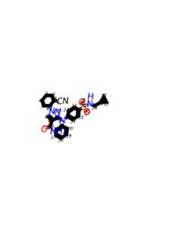 N#CC1CCCCC1n1cc(C(N)=O)c(N(c2ccccc2)c2ccc(S(=O)(=O)NCC3CC3)cc2)n1